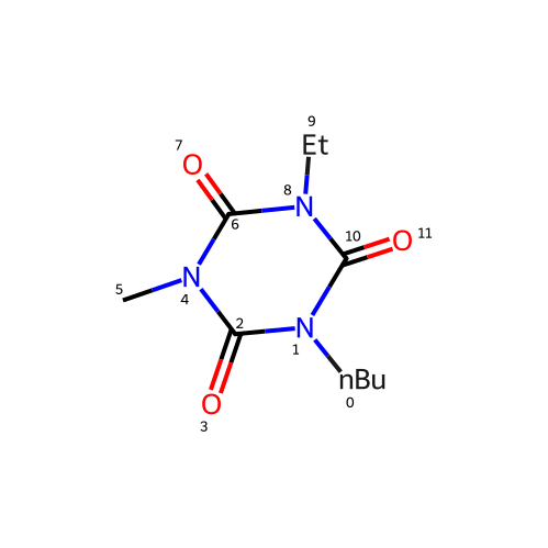 CCCCn1c(=O)n(C)c(=O)n(CC)c1=O